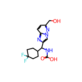 O=C(O)NC(c1cn2nc(CO)ccc2n1)C1CCC(F)(F)CC1